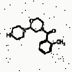 Cc1ccccc1C(=O)N1CCOC(N2CCNCC2)C1